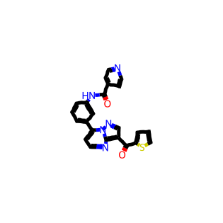 O=C(Nc1cccc(-c2ccnc3c(C(=O)c4cccs4)cnn23)c1)c1ccncc1